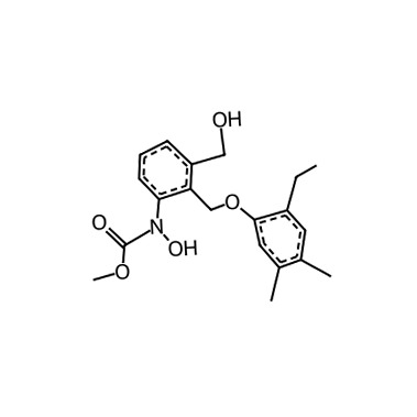 CCc1cc(C)c(C)cc1OCc1c(CO)cccc1N(O)C(=O)OC